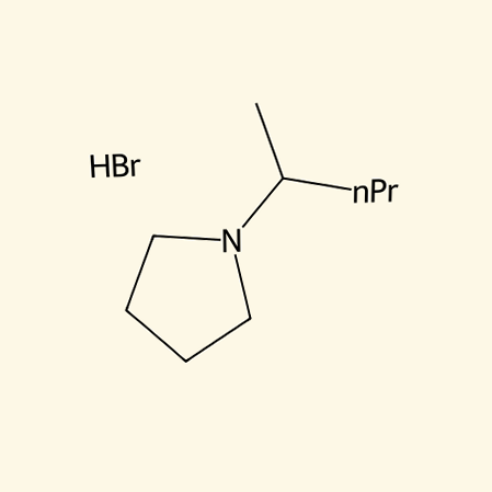 Br.CCCC(C)N1CCCC1